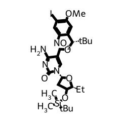 CC[C@H]1O[C@@H](n2cc(CO[C@H](c3cc(OC)c(I)cc3[N+](=O)[O-])C(C)(C)C)c(N)nc2=O)CC1O[Si](C)(C)C(C)(C)C